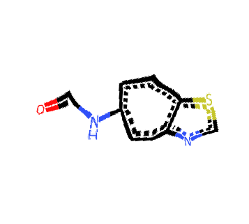 O=CNc1ccc2scnc2c1